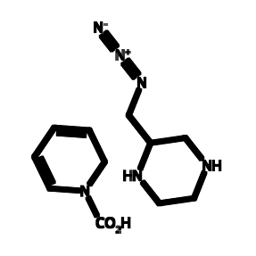 O=C(O)N1C=CC=CC1.[N-]=[N+]=NCC1CNCCN1